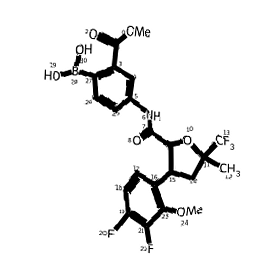 COC(=O)c1cc(NC(=O)C2OC(C)(C(F)(F)F)CC2c2ccc(F)c(F)c2OC)ccc1B(O)O